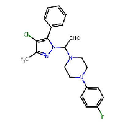 O=CC(N1CCN(c2ccc(F)cc2)CC1)n1nc(C(F)(F)F)c(Cl)c1-c1ccccc1